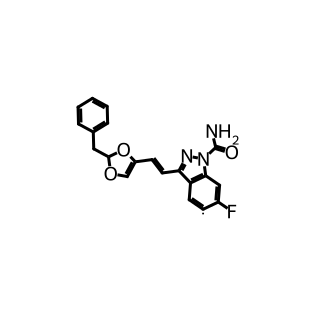 NC(=O)n1nc(C=CC2=COC(Cc3ccccc3)O2)c2c[c]c(F)cc21